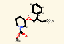 CC(C)(C)OC(=O)N1CCC[C@@H](OCC(CC(=O)O)c2ccccc2)C1